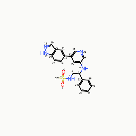 CS(=O)(=O)NCC(Nc1cncc(-c2ccc3[nH]ncc3c2)c1)c1ccccc1